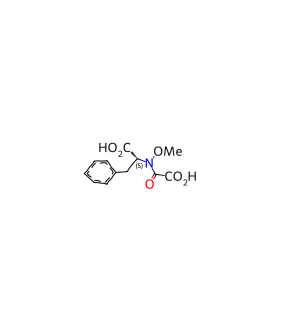 CON(C(=O)C(=O)O)[C@@H](Cc1ccccc1)C(=O)O